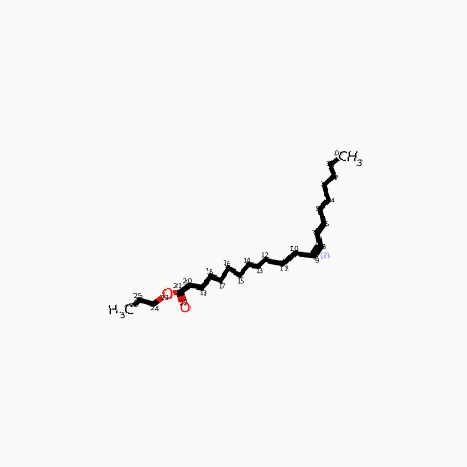 CCCCCCCC/C=C\CCCCCCCCCCCC(=O)OCCC